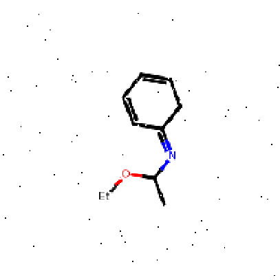 CCOC(C)N=C1C=CC=CC1